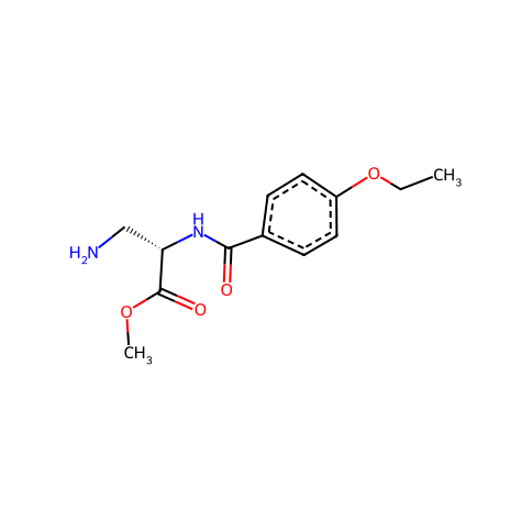 CCOc1ccc(C(=O)N[C@@H](CN)C(=O)OC)cc1